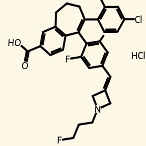 Cc1cc(C=C2CN(CCCF)C2)cc(F)c1C1=C(c2ccc(Cl)cc2Cl)CCCc2cc(C(=O)O)ccc21.Cl